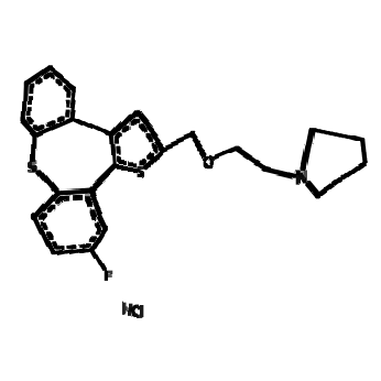 Cl.Fc1ccc2c(c1)-c1sc(COCCN3CCCC3)cc1-c1ccccc1S2